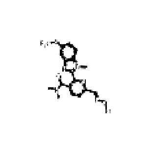 CCO/N=C/c1ccc(C(=O)N(C)C)c(-c2nc3cc(SC(F)(F)F)ccc3n2C)n1